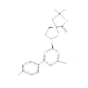 Cc1cc(-c2ccc(C(F)(F)F)cc2)nc([C@H]2CC[C@]3(CC(C)(C)NC3=O)N2)n1.Cl